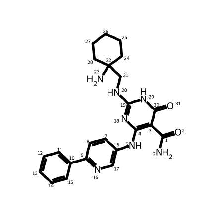 NC(=O)c1c(Nc2ccc(-c3ccccc3)nc2)nc(NCC2(N)CCCCC2)[nH]c1=O